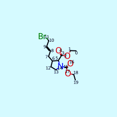 CCOC(=O)C1C(CC=CCBr)CCN1C(=O)OCC